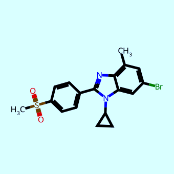 Cc1cc(Br)cc2c1nc(-c1ccc(S(C)(=O)=O)cc1)n2C1CC1